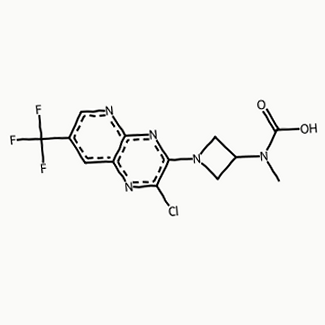 CN(C(=O)O)C1CN(c2nc3ncc(C(F)(F)F)cc3nc2Cl)C1